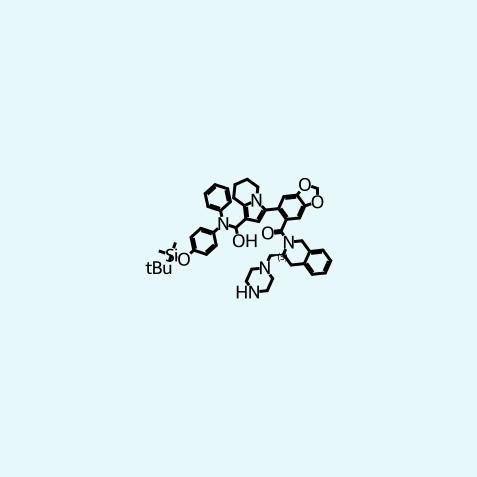 CC(C)(C)[Si](C)(C)Oc1ccc(N(c2ccccc2)C(O)c2cc(-c3cc4c(cc3C(=O)N3Cc5ccccc5C[C@H]3CN3CCNCC3)OCO4)n3c2CCCC3)cc1